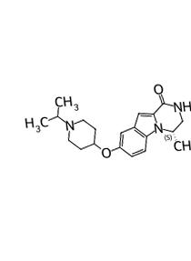 CC(C)N1CCC(Oc2ccc3c(c2)cc2n3[C@@H](C)CNC2=O)CC1